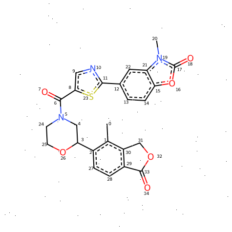 Cc1c(C2CN(C(=O)c3cnc(-c4ccc5oc(=O)n(C)c5c4)s3)CCO2)ccc2c1COC2=O